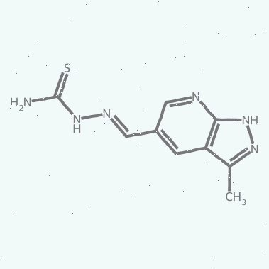 Cc1n[nH]c2ncc(C=NNC(N)=S)cc12